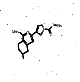 COc1nc(C2=CCN(C(=O)OC(C)(C)C)C2)cc2c1CCC(C)C2